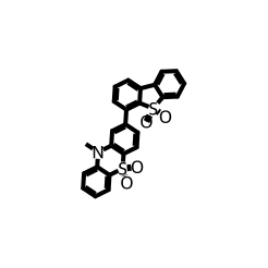 CN1c2ccccc2S(=O)(=O)c2ccc(-c3cccc4c3S(=O)(=O)c3ccccc3-4)cc21